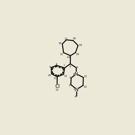 CN1CCN(CC(c2cccc(Cl)c2)C2CCCCCC2)CC1